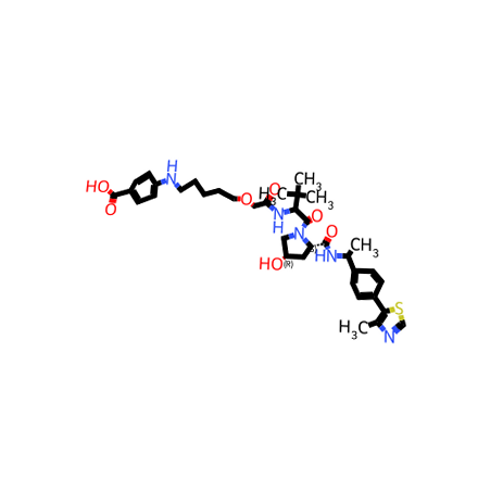 Cc1ncsc1-c1ccc(C(C)NC(=O)[C@@H]2C[C@@H](O)CN2C(=O)C(NC(=O)COCCCCCNc2ccc(C(=O)O)cc2)C(C)(C)C)cc1